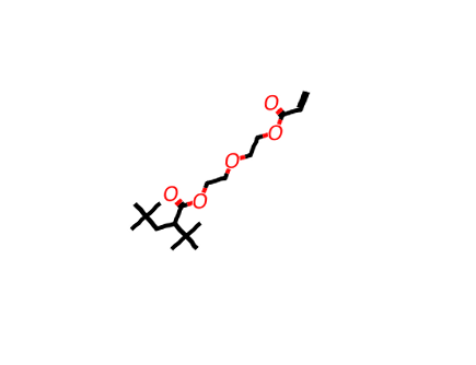 C=CC(=O)OCCOCCOC(=O)C(CC(C)(C)C)C(C)(C)C